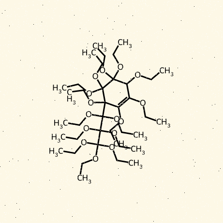 CCOC1=C(OCC)C(OCC)(C(OCC)(OCC)C(OCC)(OCC)C(OCC)(OCC)OCC)C(OCC)(OCC)C(OCC)(OCC)C1OCC